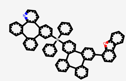 c1ccc([Si](c2ccccc2)(c2ccc3c(c2)-c2ccccc2-c2ccccc2-c2cc(-c4cccc5c4oc4ccccc45)ccc2-3)c2ccc3c(c2)-c2ccccc2-c2ccccc2-c2ncccc2-3)cc1